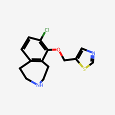 Clc1ccc2c(c1OCc1cncs1)CCNCC2